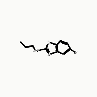 CCCNc1nc2cc(Br)ccc2s1